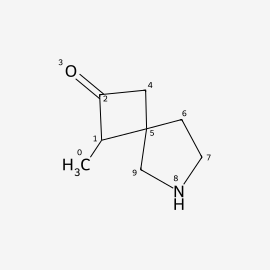 CC1C(=O)CC12CCNC2